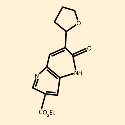 CCOC(=O)c1cnc2cc(C3CCCO3)c(=O)[nH]c2c1